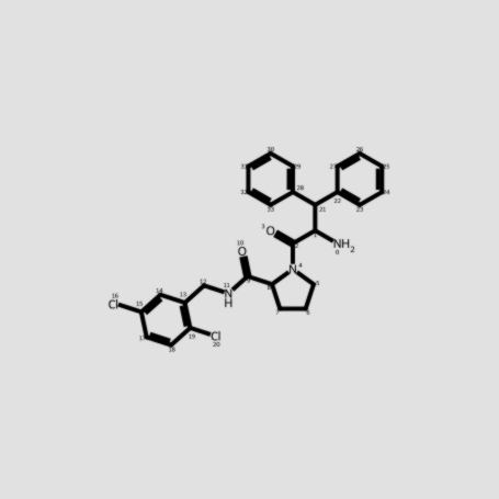 NC(C(=O)N1CCCC1C(=O)NCc1cc(Cl)ccc1Cl)C(c1ccccc1)c1ccccc1